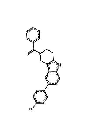 [C-]#[N+]c1ccc(-c2ccc3[nH]c4c(c3c2)CN(C(=O)c2cccnc2)CC4)cc1